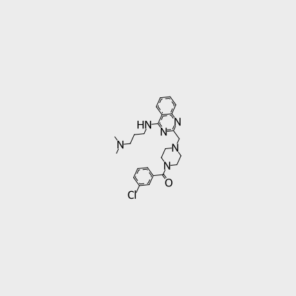 CN(C)CCCNc1nc(CN2CCN(C(=O)c3cccc(Cl)c3)CC2)nc2ccccc12